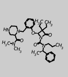 CCCN(C(=O)N1C(=O)C(CC)(CC)[C@@H]1Oc1ccccc1CN1CCNCC1C(=O)N(C)C)[C@H](C)c1ccccc1